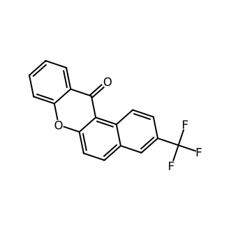 O=c1c2ccccc2oc2ccc3cc(C(F)(F)F)ccc3c12